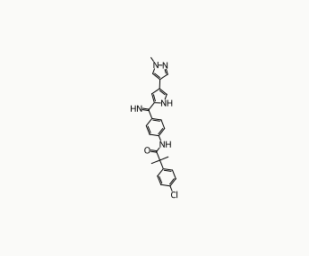 Cn1cc(-c2c[nH]c(C(=N)c3ccc(NC(=O)C(C)(C)c4ccc(Cl)cc4)cc3)c2)cn1